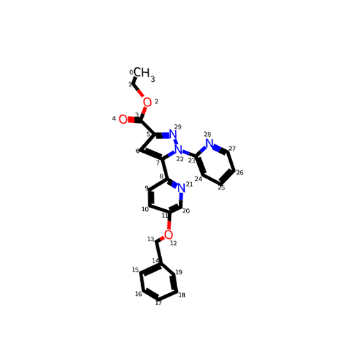 CCOC(=O)c1cc(-c2ccc(OCc3ccccc3)cn2)n(-c2ccccn2)n1